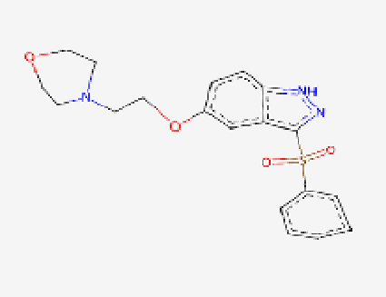 O=S(=O)(c1ccccc1)c1n[nH]c2ccc(OCCN3CCOCC3)cc12